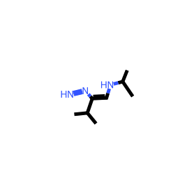 CC(C)N/C=C(\N=N)C(C)C